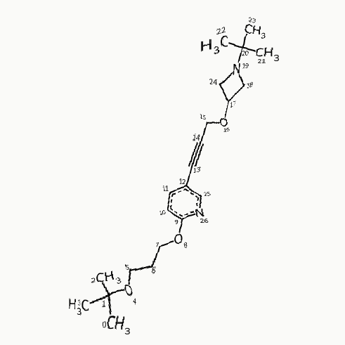 CC(C)(C)OCCCOc1ccc(C#CCOC2CN(C(C)(C)C)C2)cn1